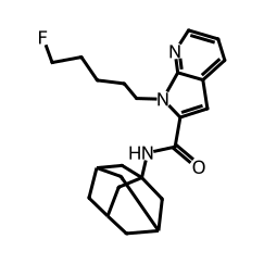 O=C(NC12CC3CC(CC(C3)C1)C2)c1cc2cccnc2n1CCCCCF